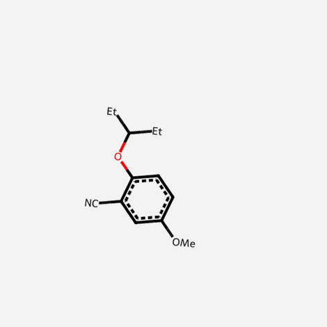 CCC(CC)Oc1ccc(OC)cc1C#N